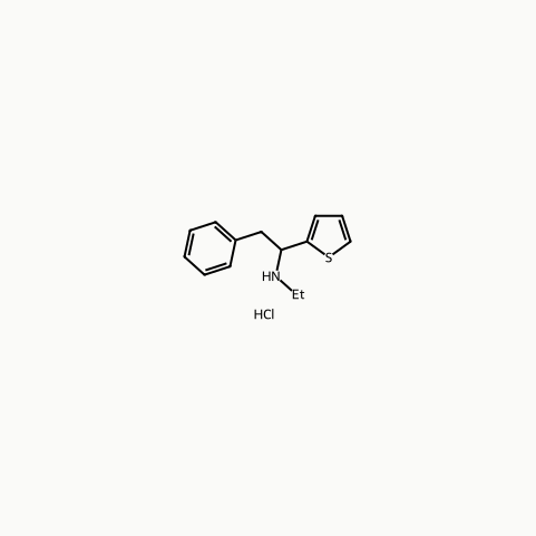 CCNC(Cc1ccccc1)c1cccs1.Cl